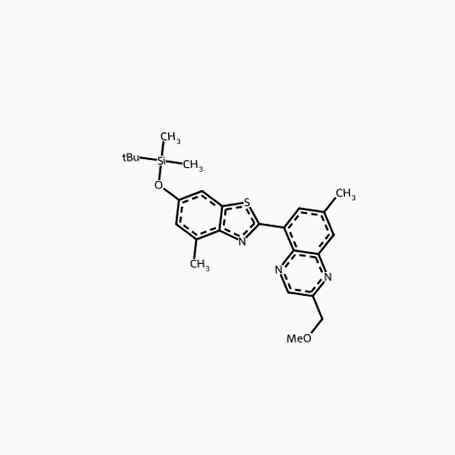 COCc1cnc2c(-c3nc4c(C)cc(O[Si](C)(C)C(C)(C)C)cc4s3)cc(C)cc2n1